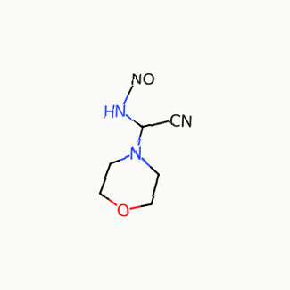 N#CC(NN=O)N1CCOCC1